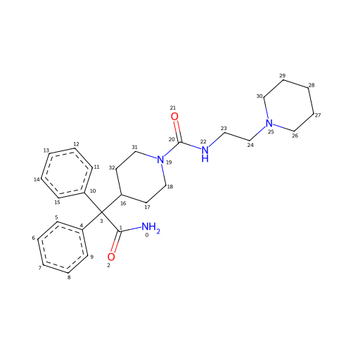 NC(=O)C(c1ccccc1)(c1ccccc1)C1CCN(C(=O)NCCN2CCCCC2)CC1